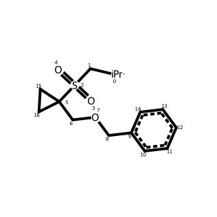 C[C](C)CS(=O)(=O)C1(COCc2ccccc2)CC1